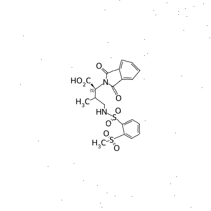 CC(CNS(=O)(=O)c1ccccc1S(C)(=O)=O)[C@@H](C(=O)O)N1C(=O)c2ccccc2C1=O